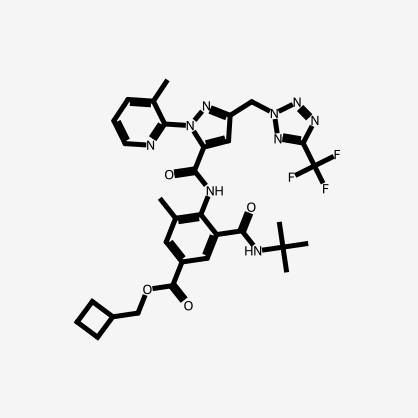 Cc1cccnc1-n1nc(Cn2nnc(C(F)(F)F)n2)cc1C(=O)Nc1c(C)cc(C(=O)OCC2CCC2)cc1C(=O)NC(C)(C)C